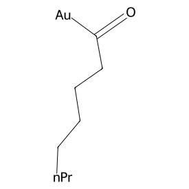 CCCCCCC[C](=O)[Au]